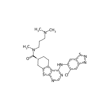 CN(C)CCCN(C)C(=O)[C@H]1CCc2c(sc3ncnc(Nc4cc5snnc5cc4Cl)c23)C1